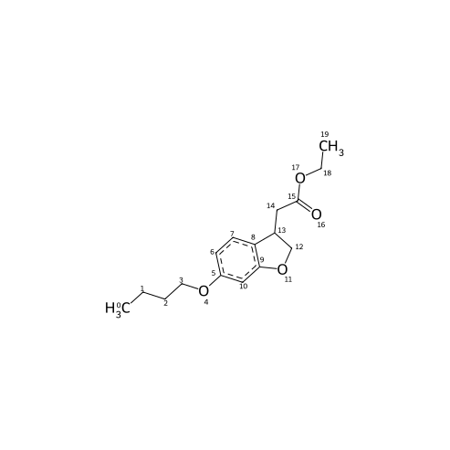 CCCCOc1ccc2c(c1)OCC2CC(=O)OCC